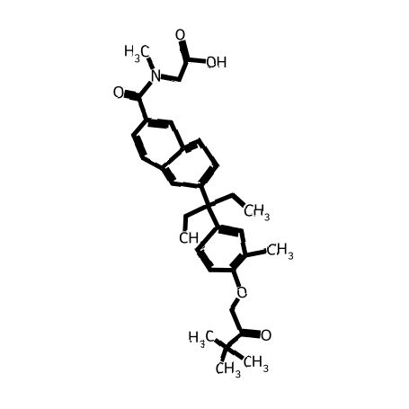 CCC(CC)(c1ccc(OCC(=O)C(C)(C)C)c(C)c1)c1ccc2cc(C(=O)N(C)CC(=O)O)ccc2c1